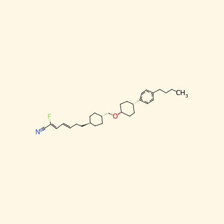 CCCCc1ccc([C@H]2CC[C@H](OC[C@H]3CC[C@H](CC/C=C/C=C(\F)C#N)CC3)CC2)cc1